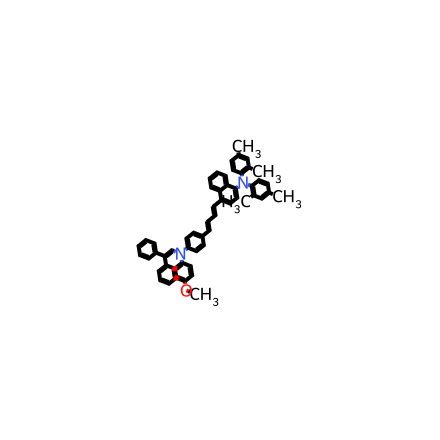 COc1ccc(N(C=C(c2ccccc2)c2ccccc2)c2ccc(/C=C/C=C/c3ccc(N(c4ccc(C)cc4C)c4ccc(C)cc4C)c4ccccc34)cc2)cc1